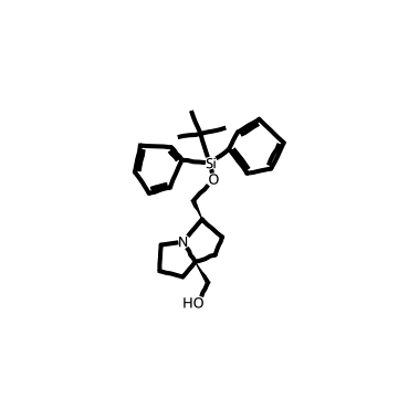 CC(C)(C)[Si](OC[C@H]1CC[C@]2(CO)CCCN12)(c1ccccc1)c1ccccc1